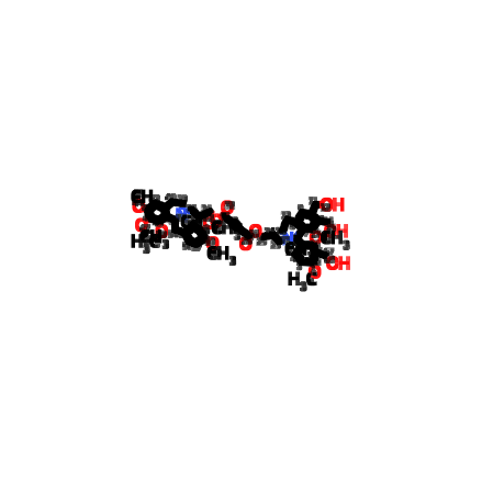 COc1ccc(C2c3c(cc(CO)c(CO)c3OC)CC[N+]2(C)CCCOC(=O)C#CC(=O)OCCC[N+]2(C)CCc3cc(OC)c(OC)c(OC)c3C2Cc2ccc(OC)c(OC)c2)cc1CO